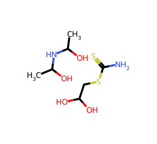 CC(O)NC(C)O.NC(=S)SCC(O)O